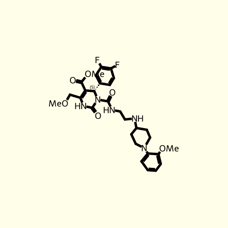 COCC1=C(C(=O)OC)[C@H](c2ccc(F)c(F)c2)N(C(=O)NCCNC2CCN(c3ccccc3OC)CC2)C(=O)N1